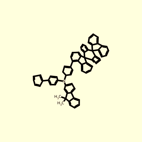 CC1(C)c2ccccc2-c2ccc(N(c3ccc(-c4ccccc4)cc3)C3C=CC(c4cccc5c4-c4ccccc4C54c5ccccc5C5(c6ccccc6-c6ccccc65)c5ccccc54)=CC3)cc21